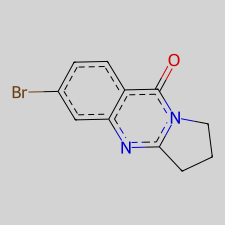 O=c1c2ccc(Br)cc2nc2n1CCC2